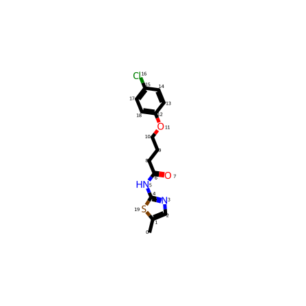 Cc1cnc(NC(=O)CCCOc2ccc(Cl)cc2)s1